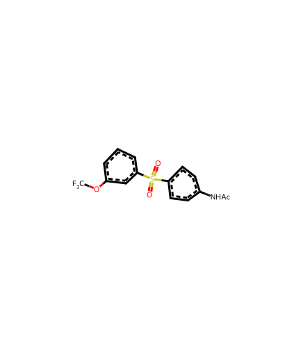 CC(=O)Nc1ccc(S(=O)(=O)c2cccc(OC(F)(F)F)c2)cc1